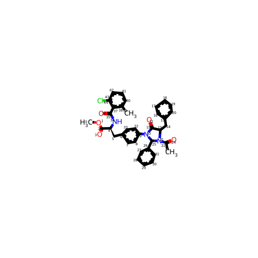 COC(=O)[C@H](Cc1ccc(N2C(=O)C(Cc3ccccc3)N(C(C)=O)C2c2ccccc2)cc1)NC(=O)c1c(C)cccc1Cl